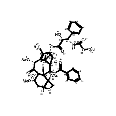 CO[C@H]1C(=O)[C@]2(C)[C@@H](OC)C[C@H]3OC[C@@]3(OC(C)=O)[C@H]2[C@H](OC(=O)c2ccccc2)[C@]2(O)C[C@@H](OC(=O)[C@H](O)[C@@H](NC(=O)OC(C)(C)C)c3ccccc3)C(C)=C1C2(C)C